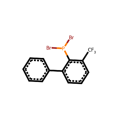 FC(F)(F)c1cccc(-c2ccccc2)c1P(Br)Br